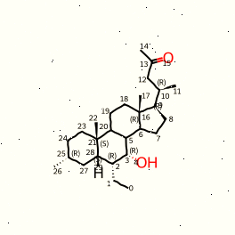 CC[C@H]1[C@@H](O)C2C3CC[C@H]([C@H](C)CC(C)=O)[C@@]3(C)CCC2[C@@]2(C)CC[C@@H](C)C[C@@H]12